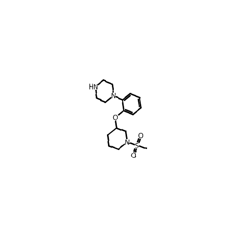 CS(=O)(=O)N1CCCC(Oc2ccccc2N2CCNCC2)C1